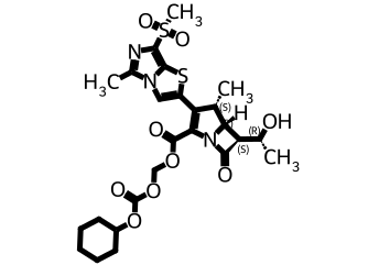 Cc1nc(S(C)(=O)=O)c2sc(C3=C(C(=O)OCOC(=O)OC4CCCCC4)N4C(=O)[C@H]([C@@H](C)O)[C@H]4[C@H]3C)cn12